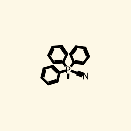 CP(C#N)(c1ccccc1)(c1ccccc1)c1ccccc1